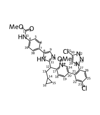 COC(=O)Nc1ccc(-c2cnc(C(CC3CC3)c3ccc(-c4cc(Cl)ccc4-n4cc(Cl)nn4)c[n+]3OC)[nH]2)cc1